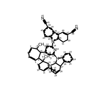 CC1C=CC=CC(C2(C)C=CC=C(C#N)C2)C1c1cc(N2c3ccccc3C3C=CC=NC32)nc(-n2c3c(c4cc(C#N)ccc42)C=C(C#N)CC3)c1